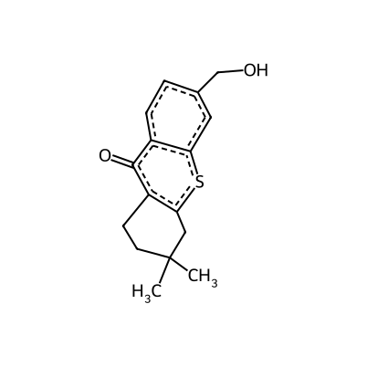 CC1(C)CCc2c(sc3cc(CO)ccc3c2=O)C1